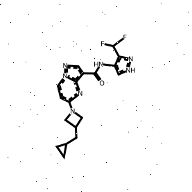 O=C(Nc1c[nH]nc1C(F)F)c1cnn2ccc(N3CC(CC4CC4)C3)nc12